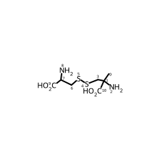 CC(N)(CSSCC(N)C(=O)O)C(=O)O